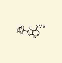 CSc1ncnc2sc(-c3nnco3)nc12